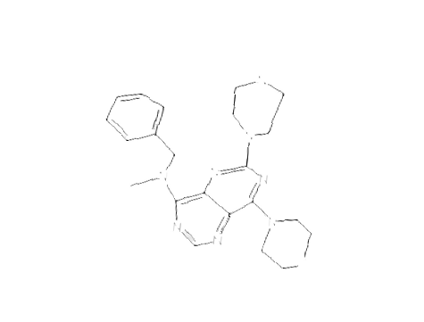 CN(Cc1ccccc1)c1ncnc2c(N3CCSCC3)nc(N3CCNCC3)nc12